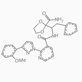 COc1ccccc1-c1ccn(-c2ncccc2C(=O)NC(Cc2ccccc2)C2(C(N)=O)OCCO2)n1